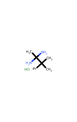 C[C](C)C(C)(C)C(C)(N)N.Cl